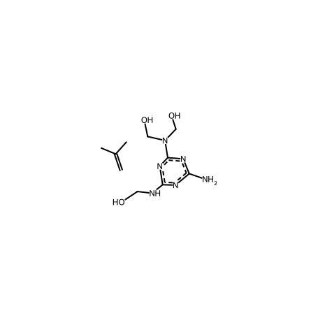 C=C(C)C.Nc1nc(NCO)nc(N(CO)CO)n1